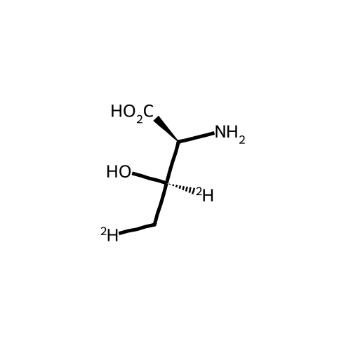 [2H]C[C@@]([2H])(O)[C@H](N)C(=O)O